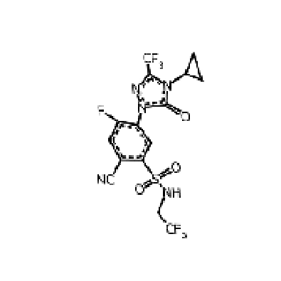 N#Cc1cc(F)c(-n2nc(C(F)(F)F)n(C3CC3)c2=O)cc1S(=O)(=O)NCC(F)(F)F